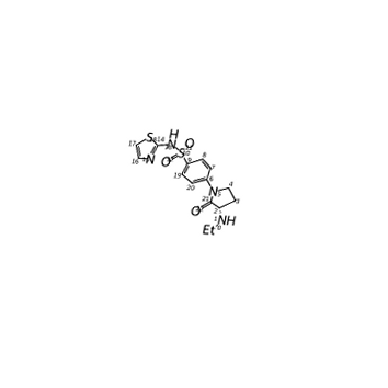 CCN[C@H]1CCN(c2ccc(S(=O)(=O)Nc3nccs3)cc2)C1=O